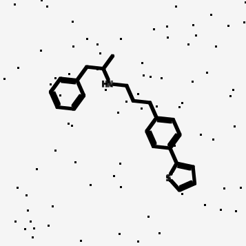 CC(Cc1ccccc1)NCCCc1ccc(-c2cccs2)cc1